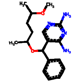 COC(C)CCC(C)OC(c1ccccc1)c1cnc(N)nc1N